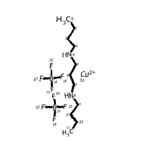 CCCCNCCCNCCCC.F[B-](F)(F)F.F[B-](F)(F)F.[Cu+2]